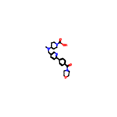 CN(Cc1ccc(-c2ccc(C(=O)N3CCOCC3)cc2)nc1)C1CCN(C(=O)O)CC1